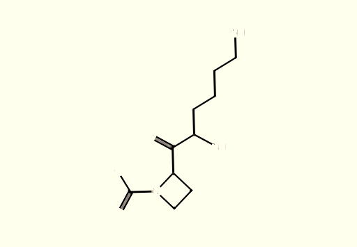 NCCCCC(N)C(=O)C1CCN1C(=O)O